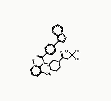 Cc1ccc[n+]([O-])c1N(C(=O)c1ccc(-c2cnn3cccnc23)cc1)[C@@H]1CCCN(C(=O)OC(C)(C)C)C1